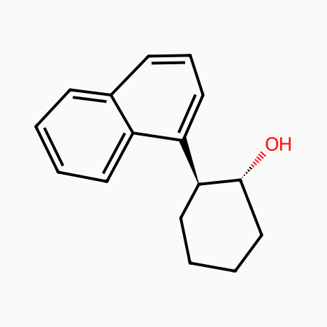 O[C@@H]1CCCC[C@H]1c1cccc2ccccc12